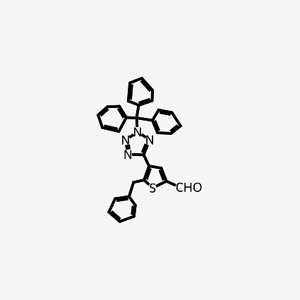 O=Cc1cc(-c2nnn(C(c3ccccc3)(c3ccccc3)c3ccccc3)n2)c(Cc2ccccc2)s1